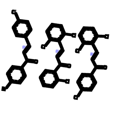 O=C(/C=C/c1c(Cl)cccc1Cl)c1ccc(Cl)cc1.O=C(/C=C/c1c(Cl)cccc1Cl)c1ccccc1Cl.O=C(/C=C/c1ccc(Cl)cc1)c1ccc(Br)cc1